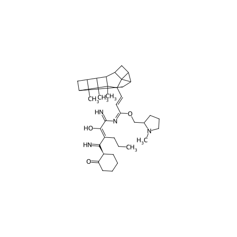 CCC/C(C(=N)[C@H]1CCCCC1=O)=C(/O)C(=N)/N=C(\C=C\C1C23C4CC2C2C5C6CC(CC43)C6(C)C5(C)C21C)OCC1CCCN1C